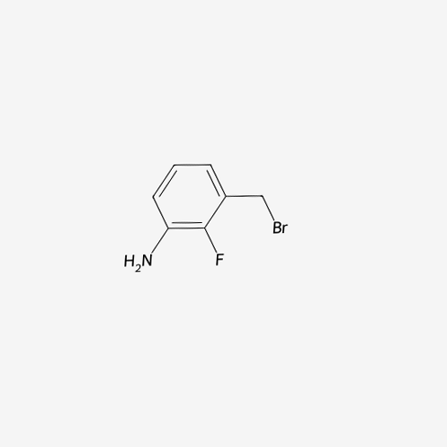 Nc1cccc(CBr)c1F